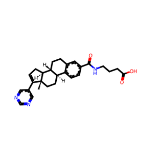 C[C@]12CC[C@@H]3c4ccc(C(=O)NCCCC(=O)O)cc4CC[C@H]3[C@@H]1CC=C2c1cncnc1